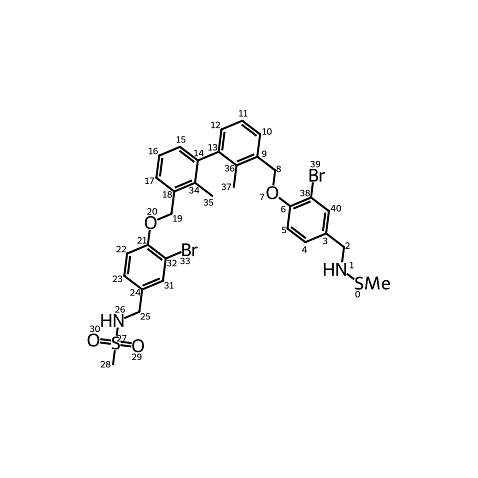 CSNCc1ccc(OCc2cccc(-c3cccc(COc4ccc(CNS(C)(=O)=O)cc4Br)c3C)c2C)c(Br)c1